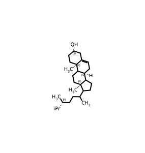 CC(CC[C@@H](C)C(C)C)C1CCC2[C@@H]3CC=C4C[C@@H](O)CC[C@]4(C)C3CC[C@]12C